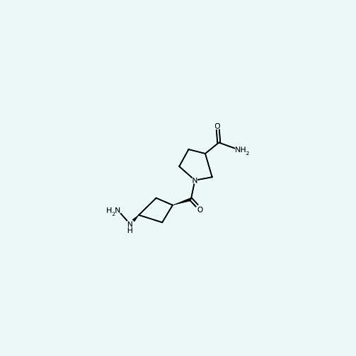 NN[C@H]1C[C@@H](C(=O)N2CCC(C(N)=O)C2)C1